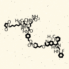 Cc1cccc(-c2nc(CNc3ccccc3F)[nH]c2-c2ccc3ncc(OCCC4CCN(C(=O)OCc5ccc(NC(=O)[C@H](CCCNC(N)=O)NC(=O)[C@@H](NC(=O)CCCCCN6C(=O)C=CC6=O)C(C)C)cc5)CC4)cc3c2)n1